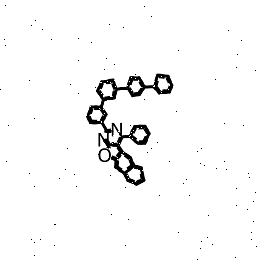 c1ccc(-c2ccc(-c3cccc(-c4cccc(-c5nc(-c6ccccc6)c6c(n5)oc5cc7ccccc7cc56)c4)c3)cc2)cc1